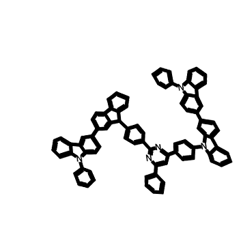 c1ccc(-c2cc(-c3ccc(-n4c5ccccc5c5ccc(-c6ccc7c(c6)c6ccccc6n7-c6ccccc6)cc54)cc3)nc(-c3ccc(C4c5ccccc5-c5ccc(-c6ccc7c(c6)c6ccccc6n7-c6ccccc6)cc54)cc3)n2)cc1